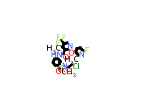 Cc1nc(F)ccc1Oc1ncc(C(F)(F)F)c(C)c1C(=O)Nc1cccc([S@@](C)(=O)=NC(=O)CCl)c1